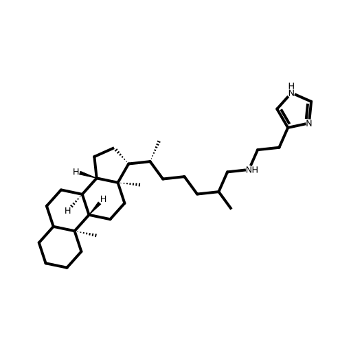 CC(CCC[C@@H](C)[C@H]1CC[C@H]2[C@@H]3CCC4CCCC[C@]4(C)[C@H]3CC[C@]12C)CNCCc1c[nH]cn1